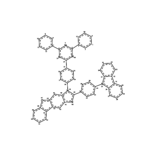 c1ccc(-c2nc(-c3ccccc3)nc(-c3ccc(-n4c(-c5ccc(-n6c7ccccc7c7ccccc76)cc5)nc5cc6c(cc54)oc4ccccc46)cc3)n2)cc1